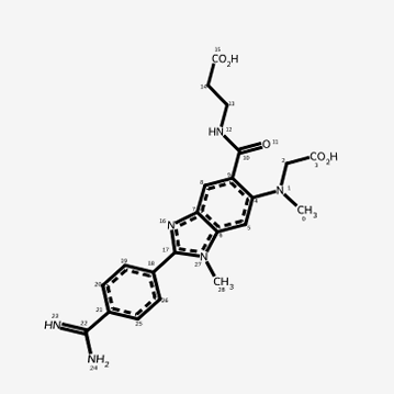 CN(CC(=O)O)c1cc2c(cc1C(=O)NCCC(=O)O)nc(-c1ccc(C(=N)N)cc1)n2C